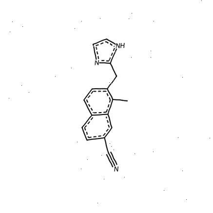 Cc1c(Cc2ncc[nH]2)ccc2ccc(C#N)cc12